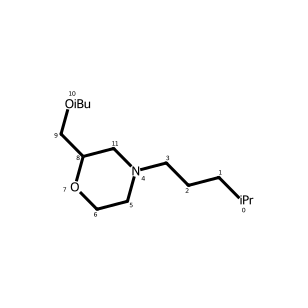 CC(C)CCCN1CCOC(COCC(C)C)C1